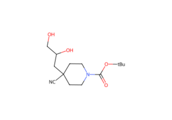 CC(C)(C)OC(=O)N1CCC(C#N)(CC(O)CO)CC1